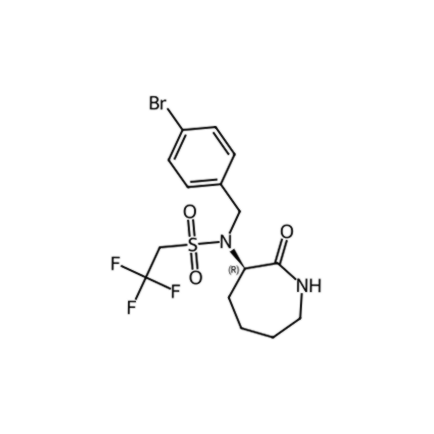 O=C1NCCCC[C@H]1N(Cc1ccc(Br)cc1)S(=O)(=O)CC(F)(F)F